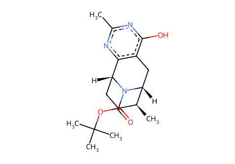 Cc1nc(O)c2c(n1)[C@H]1CC[C@H](C)[C@@H](C2)N1C(=O)OC(C)(C)C